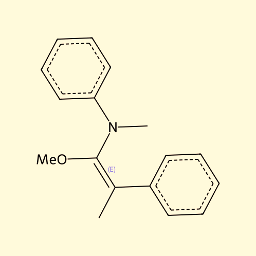 CO/C(=C(\C)c1ccccc1)N(C)c1ccccc1